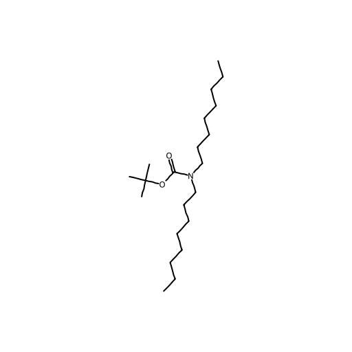 CCCCCCCCN(CCCCCCCC)C(=O)OC(C)(C)C